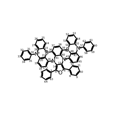 c1ccc(-c2oc(-c3ccccc3)c3c2N2c4cccc5c4B(c4ccccc4N5c4ccccc4)c4ccc5c(c42)N3c2cccc3c2B5c2ccccc2N3c2ccccc2)cc1